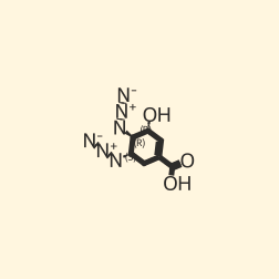 [N-]=[N+]=N[C@H]1[C@H](O)C=C(C(=O)O)C[C@@H]1N=[N+]=[N-]